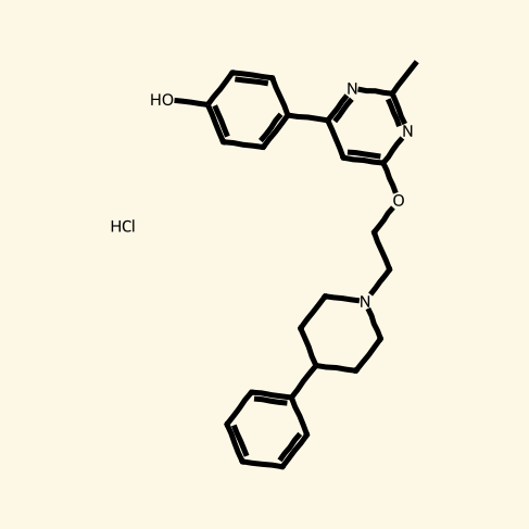 Cc1nc(OCCN2CCC(c3ccccc3)CC2)cc(-c2ccc(O)cc2)n1.Cl